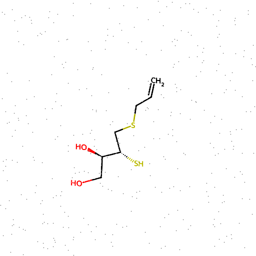 C=CCSC[C@H](S)[C@H](O)CO